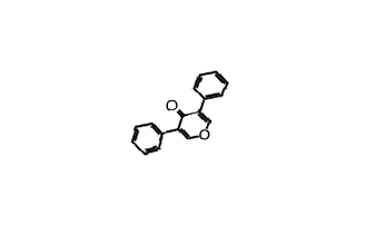 O=c1c(-c2ccccc2)cocc1-c1ccccc1